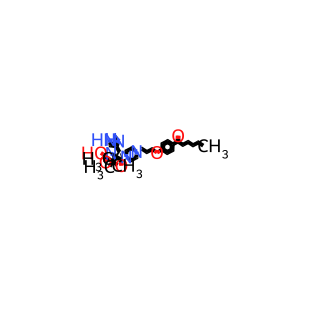 CCCCCC(=O)c1ccc(OCCCN2CCN(C(=O)[C@@](Cc3c[nH]cn3)(NC(=O)O)C(C)(C)C)CC2)cc1